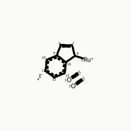 [C]=O.[C]=O.[I-].[Ru+][CH]1C=Cc2ccccc21